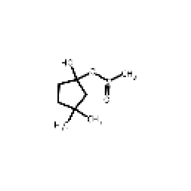 CS(=O)OC1(O)CCC(C)(C)C1